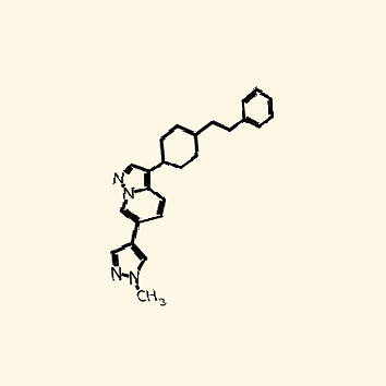 Cn1cc(-c2ccc3c(C4CCC(CCc5ccccc5)CC4)cnn3c2)cn1